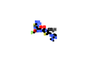 CN(C)C1=NCCN1N=CC1=C(C(=O)O)N2C(=O)C(NC(=O)C(=NOCF)c3nsc(N)n3)C2SC1